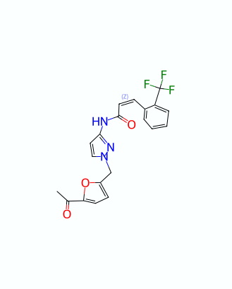 CC(=O)c1ccc(Cn2ccc(NC(=O)/C=C\c3ccccc3C(F)(F)F)n2)o1